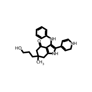 CC1(CCCO)CC(=O)c2c([nH]c(C3=CCNC=C3)c2Nc2ccccc2)C1